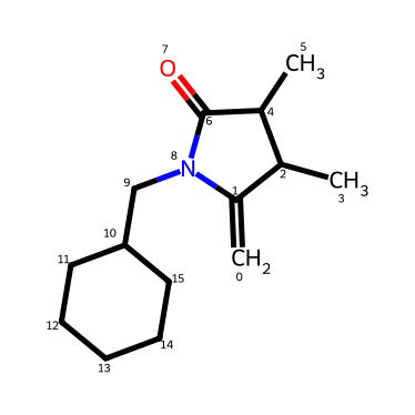 C=C1C(C)C(C)C(=O)N1CC1CCCCC1